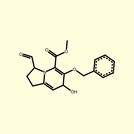 COC(=O)C1=C(OCc2ccccc2)C(O)C=C2CCC(C=O)N21